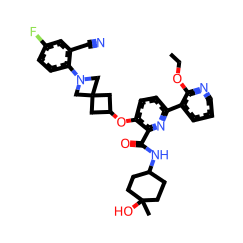 CCOc1ncccc1-c1ccc(OC2CC3(C2)CN(c2ccc(F)cc2C#N)C3)c(C(=O)NC2CCC(C)(O)CC2)n1